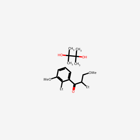 CC(C)(O)C(C)(C)O.CCc1c(OC)cccc1C(=O)C(CC)COC